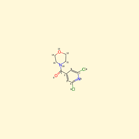 O=C(c1cc(Cl)nc(Cl)c1)N1CCOCC1